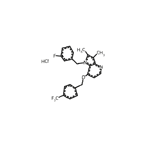 Cc1c(C)n(Cc2cccc(F)c2)c2c(OCc3ccc(C(F)(F)F)cc3)ccnc12.Cl